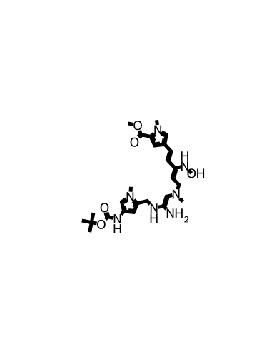 COC(=O)c1cc(C=CC(=CCN(C)/C=C(\N)NCc2cc(NC(=O)OC(C)(C)C)cn2C)NO)cn1C